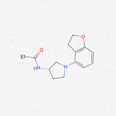 CCC(=O)N[C@H]1CCN(c2cccc3c2CCO3)C1